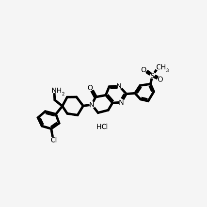 CS(=O)(=O)c1cccc(-c2ncc3c(n2)CCN(C2CCC(CN)(c4cccc(Cl)c4)CC2)C3=O)c1.Cl